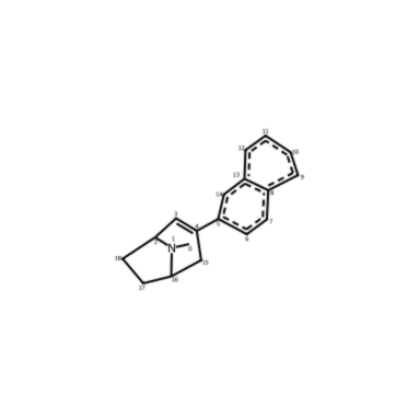 CN1C2C=C(c3ccc4ccccc4c3)CC1CC2